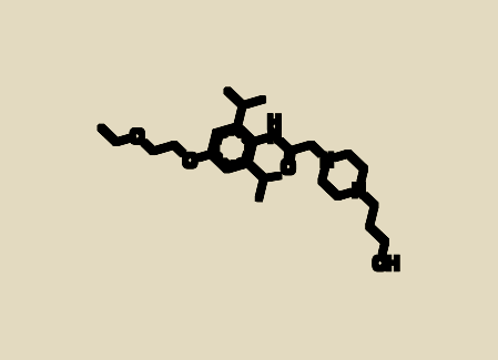 CCOCCOc1cc(C(C)C)c(NC(=O)CN2CCN(CCCO)CC2)c(C(C)C)c1